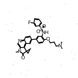 CN(C)CCCOc1ccc(-c2ccc3ncc4c(c3c2)C2(CC2)C(=O)N4C)cc1NS(=O)(=O)c1cccc(F)c1